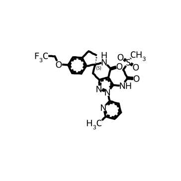 Cc1cccc(-n2nc3c(c2NC(=O)CS(C)(=O)=O)C(=O)N[C@@]2(CCc4cc(OCC(F)(F)F)ccc42)C3)n1